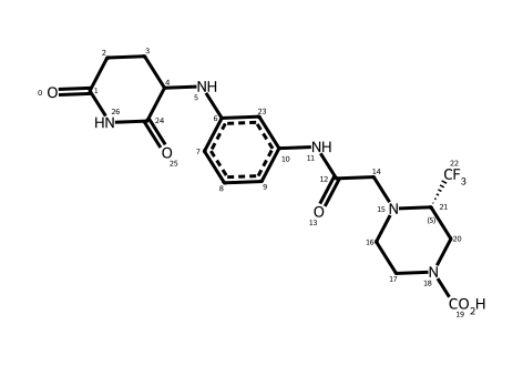 O=C1CCC(Nc2cccc(NC(=O)CN3CCN(C(=O)O)C[C@H]3C(F)(F)F)c2)C(=O)N1